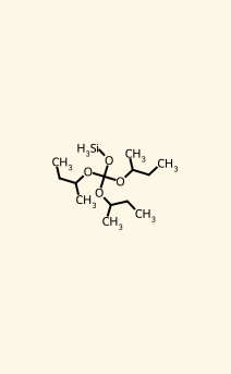 CCC(C)OC(O[SiH3])(OC(C)CC)OC(C)CC